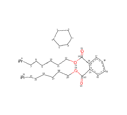 C1CCCCC1.CC(C)CCCCCCOC(=O)c1ccccc1C(=O)OCCCCCCC(C)C